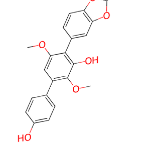 C=CC1Oc2ccc(-c3c(OC)cc(-c4ccc(O)cc4)c(OC)c3O)cc2O1